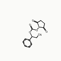 N#CCC(OC(=O)ON1C(=O)CCC1=O)c1ccccc1